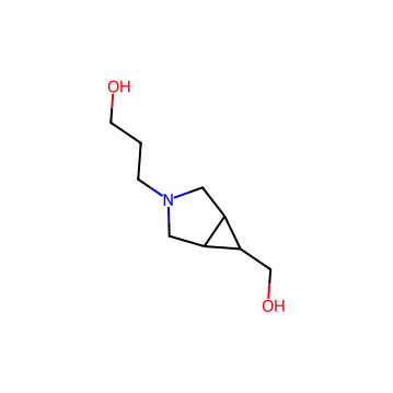 OCCCN1CC2C(CO)C2C1